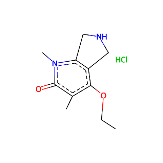 CCOc1c2c(n(C)c(=O)c1C)CNC2.Cl